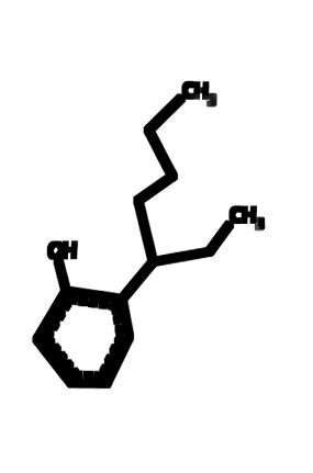 CCCCC(CC)c1ccccc1O